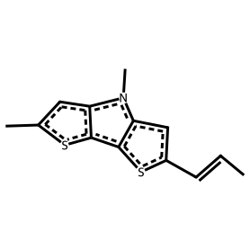 C/C=C/c1cc2c(s1)c1sc(C)cc1n2C